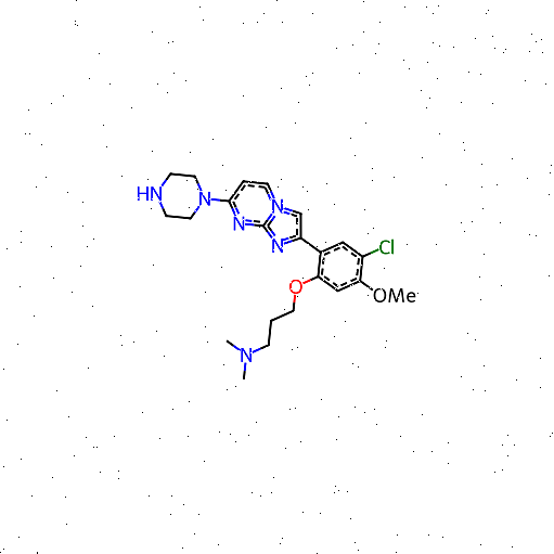 COc1cc(OCCCN(C)C)c(-c2cn3ccc(N4CCNCC4)nc3n2)cc1Cl